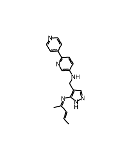 C/C=C/C(C)=N\c1[nH]ncc1CNc1ccc(-c2ccncc2)nc1